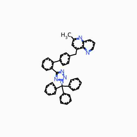 Cc1cc(Cc2ccc(-c3ccccc3-c3nnn(C(c4ccccc4)(c4ccccc4)c4ccccc4)n3)cc2)c2ncccc2n1